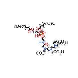 CCCCCCCCCCCCCC(=O)OC[C@H](COP(=O)(O)OCCNC(=O)CN(CCN(CCN(CC(=O)O)CC(=O)O)CC(=O)O)CC(=O)O)OC(=O)CCCCCCCCCCCCC